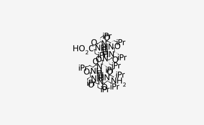 CC(C)C[C@H](NC(=O)[C@H](CC(C)C)NC(=O)[C@H](CC(C)C)NC(=O)[C@H](CC(C)C)NC(=O)[C@H](CC(C)C)NC(=O)[C@H](CC(C)C)NC(=O)[C@H](CC(C)C)NC(=O)[C@H](CC(C)C)NC(=O)[C@H](CC(C)C)NC(=O)[C@H](CC(C)C)NC(=O)[C@@H](N)C(C)C)C(=O)O